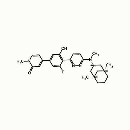 CN(c1ccc(-c2c(O)cc(-c3ccn(C)c(=O)c3)cc2F)nn1)[C@H]1C[C@]2(C)CCC[C@](C)(C1)C2